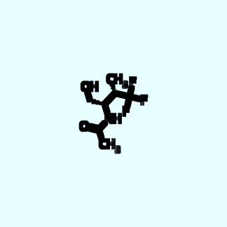 CC(=O)N[C@H](CO)[C@H](C)C(F)(F)F